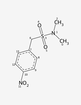 CN(C)S(=O)(=O)Cc1ccc([N+](=O)[O-])cc1